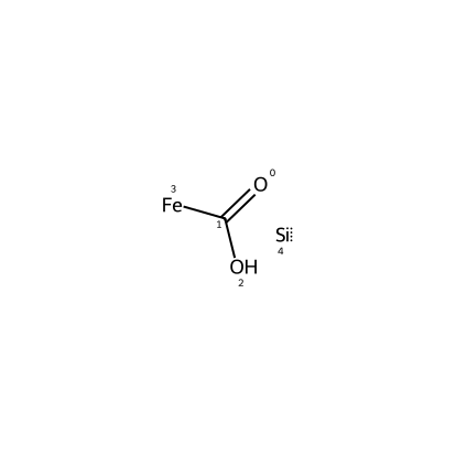 O=[C](O)[Fe].[Si]